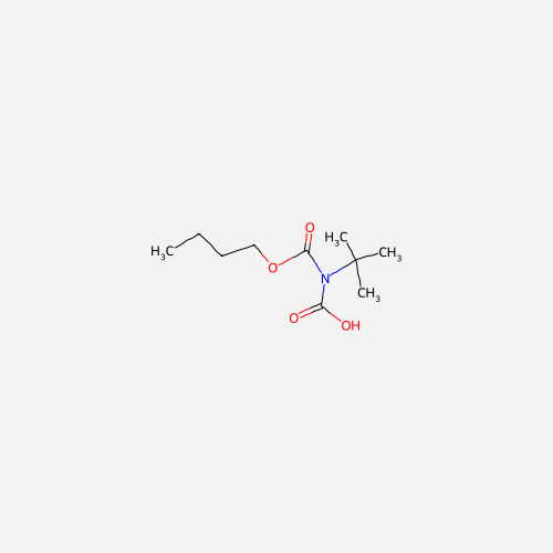 CCCCOC(=O)N(C(=O)O)C(C)(C)C